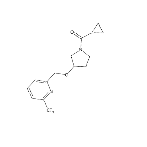 O=C(C1CC1)N1CCC(OCc2cccc(C(F)(F)F)n2)C1